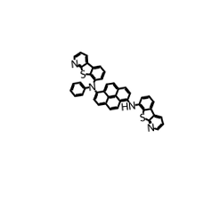 c1ccc(N(c2ccc3ccc4c(Nc5cccc6c5sc5ncccc56)ccc5ccc2c3c54)c2cccc3c2sc2ncccc23)cc1